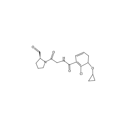 O=C[C@@H]1CCCN1C(=O)CNC(=O)C1=C(Cl)C(OC2CC2)CC=C1